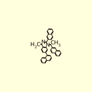 C=C(/N=C(\N=C(/C)c1ccc2ccccc2c1)c1ccc2ccccc2c1)c1ccc(-c2cccc3ccccc23)cc1